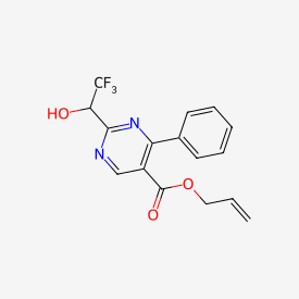 C=CCOC(=O)c1cnc(C(O)C(F)(F)F)nc1-c1ccccc1